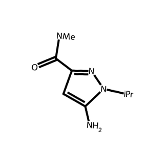 CNC(=O)c1cc(N)n(C(C)C)n1